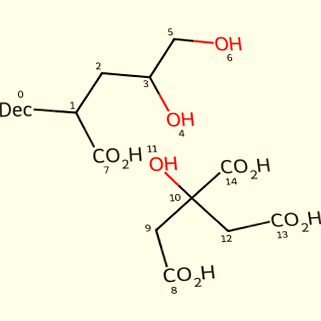 CCCCCCCCCCC(CC(O)CO)C(=O)O.O=C(O)CC(O)(CC(=O)O)C(=O)O